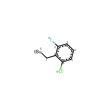 CC(C)(C)Cc1c(F)cccc1Cl